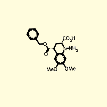 COc1cc2c(cc1OC)N(N)[C@@H](C(=O)O)C[C@H]2C(=O)OCc1ccccc1